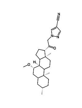 CO[C@H]1CC2C[C@@H](C)CC[C@]2(C)C2CC[C@@]3(C)C(CC[C@@H]3C(=O)Cn3cc(C#N)cn3)[C@@H]21